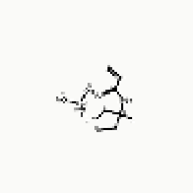 C=CC(=O)NC(C)(CC)CC.O=[PH](O)O